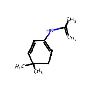 C=C(C)NC1=CCC(C)(C)C=C1